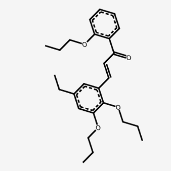 CCCOc1ccccc1C(=O)/C=C/c1cc(CC)cc(OCCC)c1OCCC